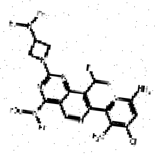 CCCCN(CC)c1nc(N2CC(N(CC)CC)C2)nc2c(C(F)F)c(-c3nc(N)cc(Cl)c3C(F)(F)F)ncc12